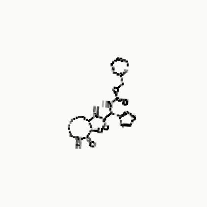 O=C(NC(C(=O)NC1CCCCNC(=O)C1=O)c1cscn1)OCc1ccccc1